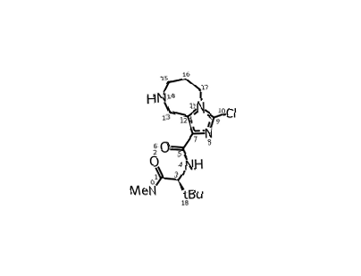 CNC(=O)[C@@H](NC(=O)c1nc(Cl)n2c1CNCCC2)C(C)(C)C